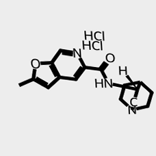 Cc1cc2cc(C(=O)N[C@H]3CN4CCC3CC4)ncc2o1.Cl.Cl